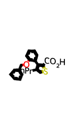 CCCc1csc(C(=O)O)c1-c1ccccc1OCc1ccccc1